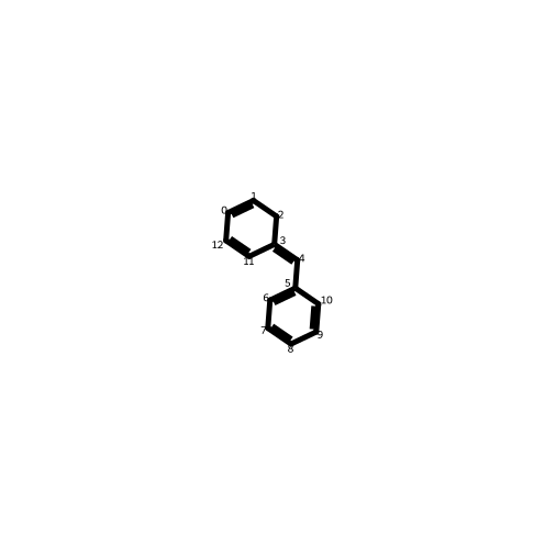 [C]1=CCC(=Cc2ccccc2)C=C1